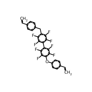 C=Cc1ccc(Cc2c(F)c(F)c(-c3c(F)c(F)c(Oc4ccc(C=C)cc4)c(F)c3F)c(F)c2F)cc1